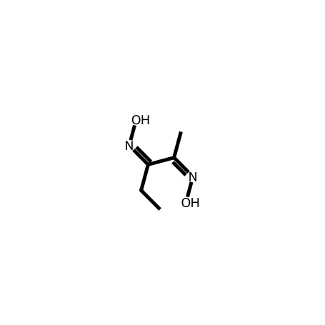 CCC(=N/O)/C(C)=N\O